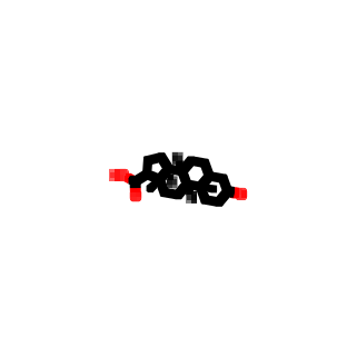 C[C@]12CCC(=O)CC1CC[C@@H]1[C@H]2CC[C@]2(C)C(C(=O)O)CC[C@@H]12